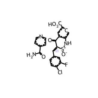 NC(=O)c1ccncc1.O=C(O)c1ccc2c(c1)C(=O)/C(=C/c1ccc(Cl)c(F)c1)[S+]([O-])N2